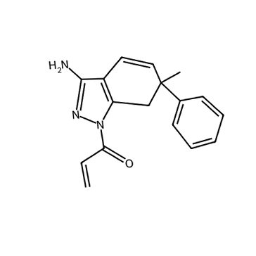 C=CC(=O)n1nc(N)c2c1CC(C)(c1ccccc1)C=C2